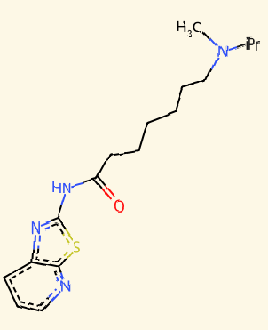 CC(C)N(C)CCCCCCC(=O)Nc1nc2cccnc2s1